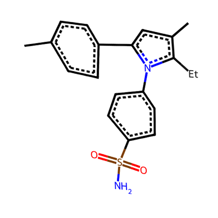 CCc1c(C)cc(-c2ccc(C)cc2)n1-c1ccc(S(N)(=O)=O)cc1